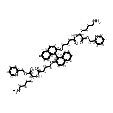 NCCCC[C@@H](NC(=O)CCCOc1ccc2ccccc2c1-c1c(OCCCC(=O)N[C@H](CCCCN)C(=O)OCc2ccccn2)ccc2ccccc12)C(=O)OCc1ccccn1